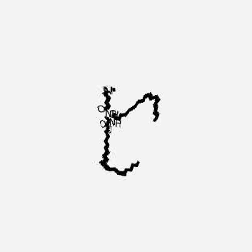 CCCCC/C=C\C/C=C\CCCCCCCCOC(=O)C(CNC(=O)CCCCN(C)C)NC(=O)CCCCCCC/C=C\C/C=C\CCCCC